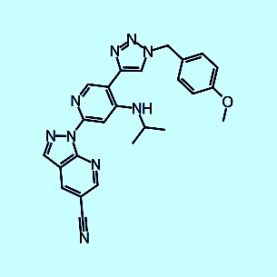 COc1ccc(Cn2cc(-c3cnc(-n4ncc5cc(C#N)cnc54)cc3NC(C)C)nn2)cc1